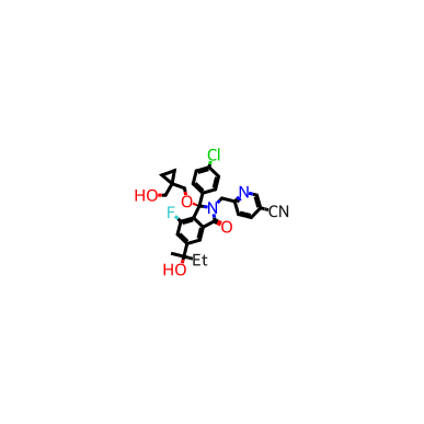 CCC(C)(O)c1cc(F)c2c(c1)C(=O)N(Cc1ccc(C#N)cn1)[C@@]2(OCC1(CO)CC1)c1ccc(Cl)cc1